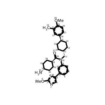 COc1ncc(-c2cccc(N(C[C@H]3CC[C@H](c4ccc(OC)c(C)c4)CC3)C(=O)[C@H]3CC[C@H](N)CC3)c2)s1